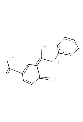 COC(=O)C1=C/C(=C(\N)Nc2ccccc2)C(=N)C=C1